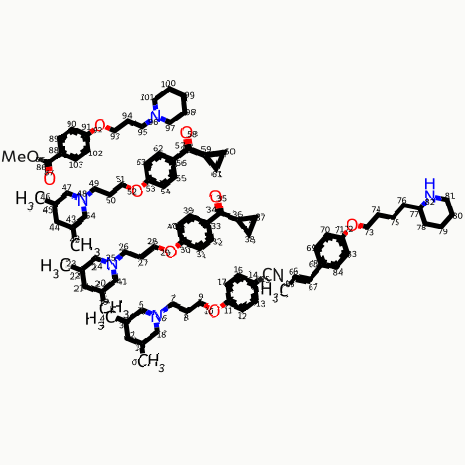 CC1CC(C)CN(CCCOc2ccc(C#N)cc2)C1.CC1CC(C)CN(CCCOc2ccc(C(=O)C3CC3)cc2)C1.CC1CC(C)CN(CCCOc2ccc(C(=O)C3CC3)cc2)C1.CC=Cc1ccc(OCCCCC2CCCCN2)cc1.COC(=O)c1ccc(OCCCN2CCCCC2)cc1